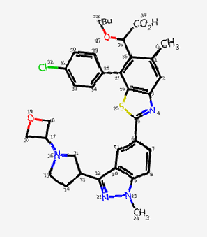 Cc1cc2nc(-c3ccc4c(c3)c(C3CCN(C5COC5)C3)nn4C)sc2c(-c2ccc(Cl)cc2)c1C(OC(C)(C)C)C(=O)O